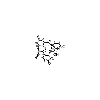 Cc1cc([C@@H](C)Nc2ccc(Cl)nc2C(=O)O)c2nc(-c3ccc(=O)n(C)c3)c(C#N)nc2c1